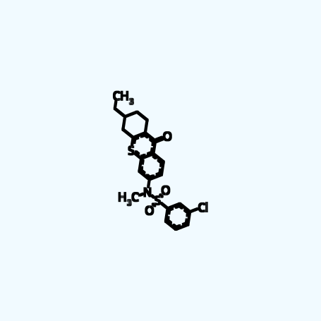 CCC1CCc2c(sc3cc(N(C)S(=O)(=O)c4cccc(Cl)c4)ccc3c2=O)C1